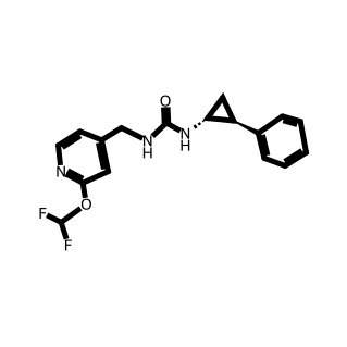 O=C(NCc1ccnc(OC(F)F)c1)N[C@@H]1C[C@H]1c1ccccc1